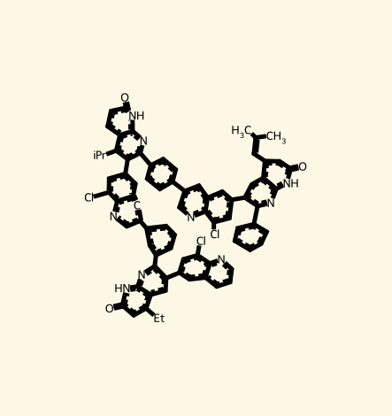 CCc1cc(=O)[nH]c2nc(-c3cccc(-c4cnc5c(Cl)cc(-c6c(-c7ccc(-c8cnc9c(Cl)cc(-c%10cc%11c(C=C(C)C)cc(=O)[nH]c%11nc%10-c%10ccccc%10)cc9c8)cc7)nc7[nH]c(=O)ccc7c6C(C)C)cc5c4)c3)c(-c3cc(Cl)c4ncccc4c3)cc12